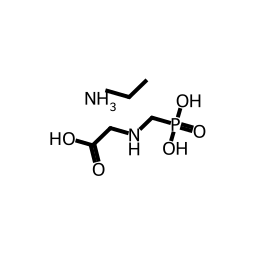 CCC.N.O=C(O)CNCP(=O)(O)O